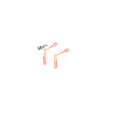 O=P[O-].O=P[O-].[Mn+2]